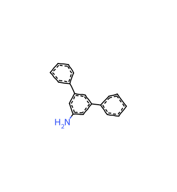 Nc1cc(-c2ccccc2)cc(-c2ccccc2)c1